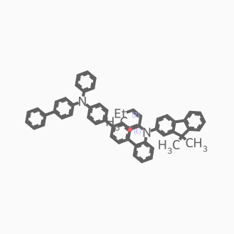 C/C=C(\C=C/CC)N(c1ccc2c(c1)C(C)(C)c1ccccc1-2)c1ccccc1-c1ccc(-c2ccc(N(c3ccccc3)c3ccc(-c4ccccc4)cc3)cc2)cc1